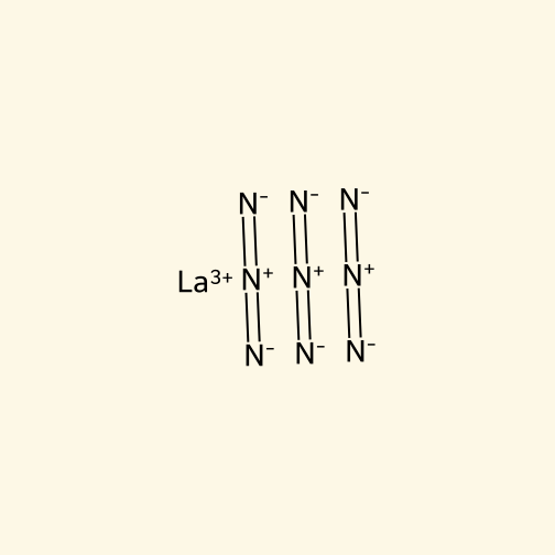 [La+3].[N-]=[N+]=[N-].[N-]=[N+]=[N-].[N-]=[N+]=[N-]